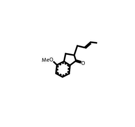 C/C=C/CC1Cc2c(OC)cccc2C1=O